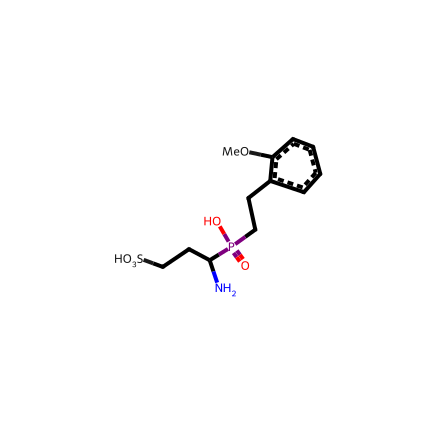 COc1ccccc1CCP(=O)(O)C(N)CCS(=O)(=O)O